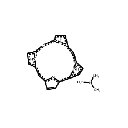 C1=Cc2nc1cc1ccc(cc3ccc(cc4ccc2[nH]4)[nH]3)[nH]1.CN(C)C